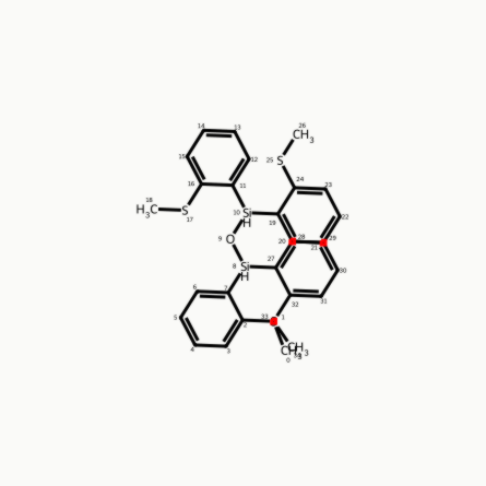 CSc1ccccc1[SiH](O[SiH](c1ccccc1SC)c1ccccc1SC)c1ccccc1SC